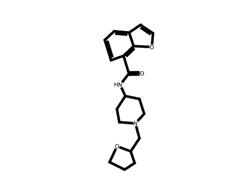 O=C(NC1CCN(CC2CCCO2)CC1)c1cccc2ccoc12